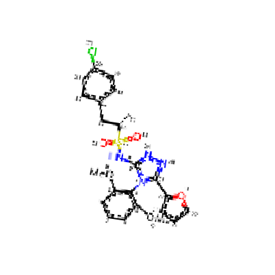 COc1cccc(OC)c1-n1c(NS(=O)(=O)[C@@H](C)Cc2ccc(Cl)cc2)nnc1-c1ccco1